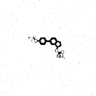 NC(=O)OC1CCc2ccc(-c3ccc(OC(F)(F)F)cc3)cc21